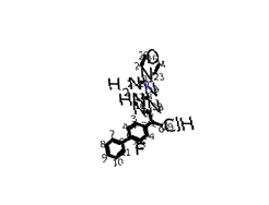 CC(c1ccc(-c2ccccc2)c(F)c1)c1n[nH]c(/N=C(\N)N2CCOCC2)n1.Cl